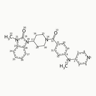 CN(c1ccncc1)c1ccc(C(=O)N2CCC(n3c(=O)n(C)c4ccccc43)CC2)cc1